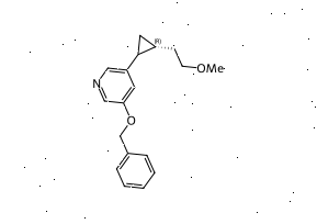 COCC[C@H]1CC1c1cncc(OCc2ccccc2)c1